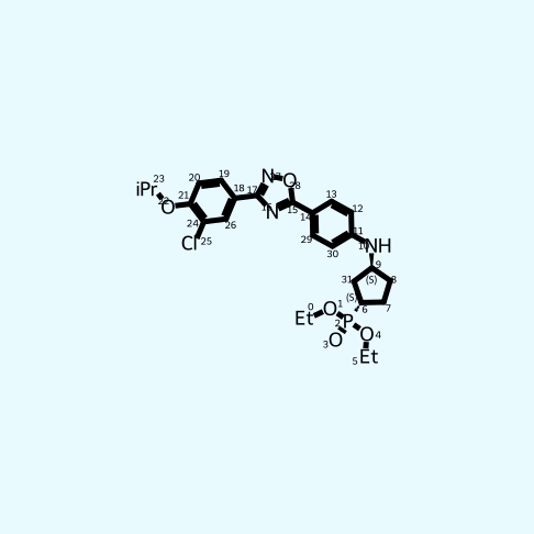 CCOP(=O)(OCC)[C@H]1CC[C@H](Nc2ccc(-c3nc(-c4ccc(OC(C)C)c(Cl)c4)no3)cc2)C1